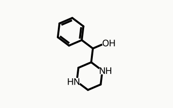 OC(c1ccccc1)C1CNCCN1